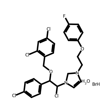 Br.Fc1ccc(OCCN2C=CN(C(Cl)C(OCc3ccc(Cl)cc3Cl)c3ccc(Cl)cc3)C2)cc1.O